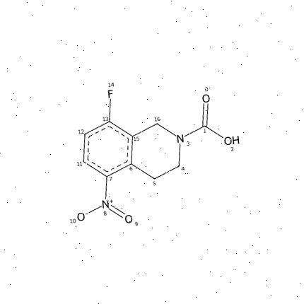 O=C(O)N1CCc2c([N+](=O)[O-])ccc(F)c2C1